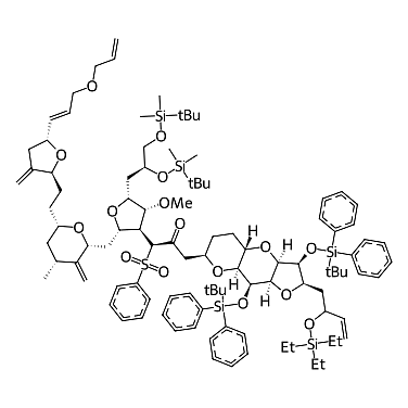 C=CCOCC=C[C@H]1CC(=C)[C@H](CC[C@H]2C[C@@H](C)C(=C)[C@@H](C[C@@H]3O[C@H](C[C@@H](CO[Si](C)(C)C(C)(C)C)O[Si](C)(C)C(C)(C)C)[C@H](OC)[C@H]3[C@@H](C(=O)C[C@H]3CC[C@@H]4O[C@@H]5[C@@H](O[C@H](CC(C=C)O[Si](CC)(CC)CC)[C@@H]5O[Si](c5ccccc5)(c5ccccc5)C(C)(C)C)[C@@H](O[Si](c5ccccc5)(c5ccccc5)C(C)(C)C)[C@H]4O3)S(=O)(=O)c3ccccc3)O2)O1